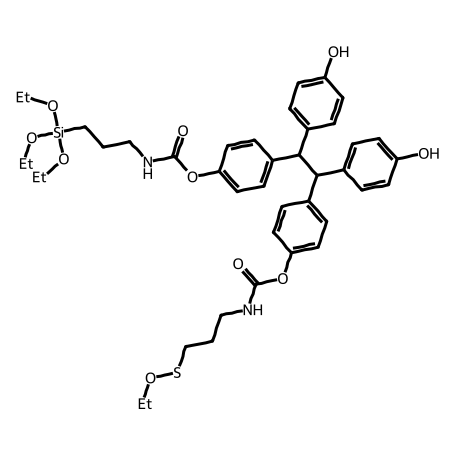 CCOSCCCNC(=O)Oc1ccc(C(c2ccc(O)cc2)C(c2ccc(O)cc2)c2ccc(OC(=O)NCCC[Si](OCC)(OCC)OCC)cc2)cc1